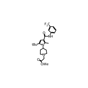 COC(=O)CN1CCC(n2c(C(C)(C)C)cc(C(=O)Nc3cccc(C(F)(F)F)c3)c2C)CC1